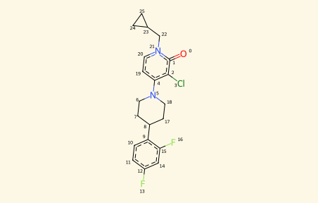 O=c1c(Cl)c(N2CCC(c3ccc(F)cc3F)CC2)ccn1CC1CC1